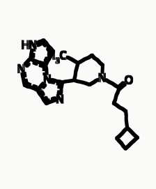 CC1CCN(C(=O)CCC2CCC2)CC1c1ncc2cnc3[nH]ccc3n12